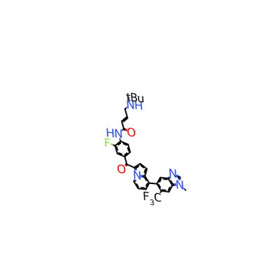 Cn1cnc2cc(-c3cccn4c(C(=O)c5ccc(NC(=O)/C=C/CNC(C)(C)C)c(F)c5)ccc34)c(C(F)(F)F)cc21